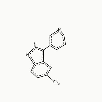 Cc1ccc2n[nH]c(-c3cccnc3)c2c1